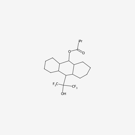 CC(C)C(=O)OC1C2CCCCC2C(C(O)(C(F)(F)F)C(F)(F)F)C2CCCCC21